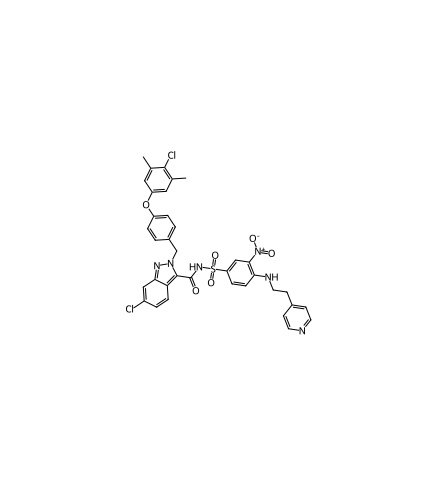 Cc1cc(Oc2ccc(Cn3nc4cc(Cl)ccc4c3C(=O)NS(=O)(=O)c3ccc(NCCc4ccncc4)c([N+](=O)[O-])c3)cc2)cc(C)c1Cl